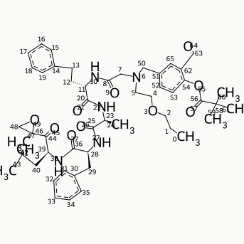 CCCOCCN(CC(=O)N[C@@H](CCc1ccccc1)C(=O)N[C@@H](C)C(=O)N[C@@H](Cc1ccccc1)C(=O)N[C@@H](CC(C)C)C(=O)[C@@]1(C)CO1)Cc1ccc(OC(=O)C(C)(C)C)c(C=O)c1